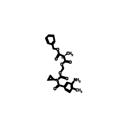 Cc1ccc(C(=O)N(C(=O)OCOC(=O)[C@@H](C)C(=O)OCc2ccccc2)C2CC2)cc1N